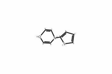 [C]1=CN(c2cccs2)C=CO1